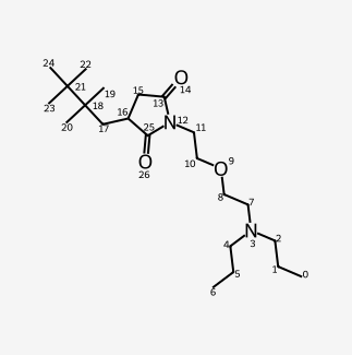 CCCN(CCC)CCOCCN1C(=O)CC(CC(C)(C)C(C)(C)C)C1=O